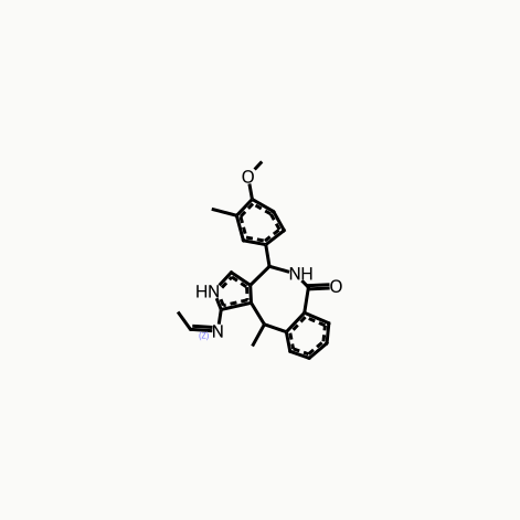 C/C=N\c1[nH]cc2c1C(C)c1ccccc1C(=O)NC2c1ccc(OC)c(C)c1